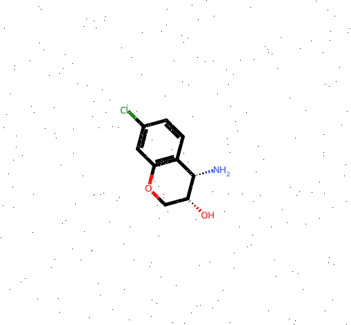 N[C@H]1c2ccc(Cl)cc2OC[C@H]1O